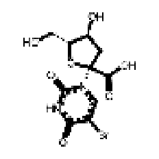 O=C(O)[C@]1(n2cc(Br)c(=O)[nH]c2=O)C[C@H](O)[C@@H](CO)O1